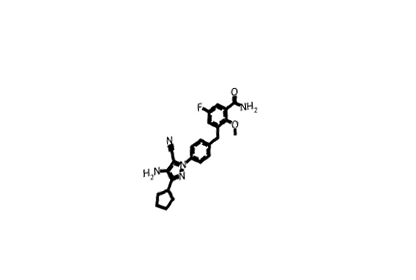 COc1c(Cc2ccc(-n3nc(C4CCCC4)c(N)c3C#N)cc2)cc(F)cc1C(N)=O